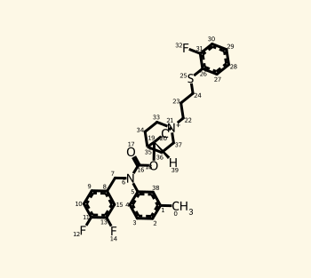 Cc1cccc(N(Cc2ccc(F)c(F)c2)C(=O)O[C@H]2C[N+]3(CCCSc4ccccc4F)CCC2CC3)c1